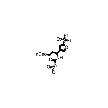 CCCCCCCCCCCCC(NC(=O)N=S(=O)=O)c1coc([Si](CC)(CC)CC)c1